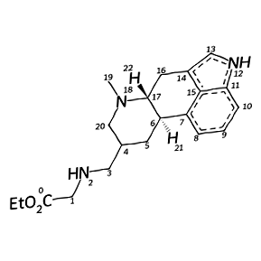 CCOC(=O)CNCC1C[C@@H]2c3cccc4[nH]cc(c34)C[C@H]2N(C)C1